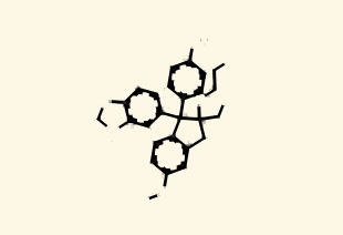 CCCOc1ccc2c(c1)CC(CC(=O)O)(OCCO)C2(c1ccc(OC)cc1)c1ccc2c(c1)OCO2